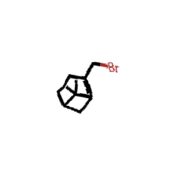 CC1(C)C2=C(CBr)CCC1C2